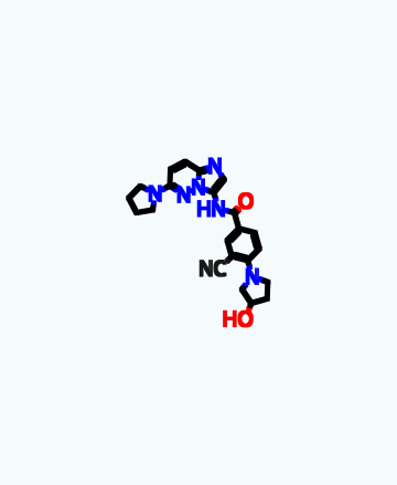 N#Cc1cc(C(=O)Nc2cnc3ccc(N4CCCC4)nn23)ccc1N1CCC(O)C1